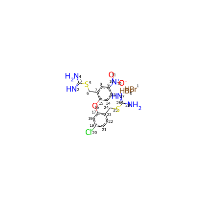 Br.Br.N=C(N)SCc1cc([N+](=O)[O-])ccc1Oc1cc(Cl)ccc1CSC(=N)N